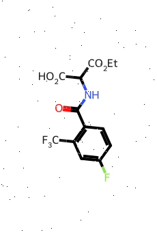 CCOC(=O)C(NC(=O)c1ccc(F)cc1C(F)(F)F)C(=O)O